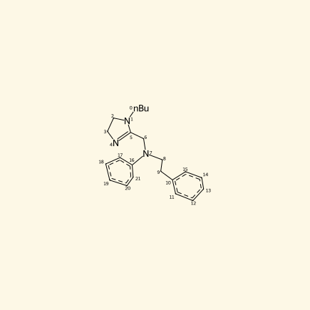 CCCCN1CCN=C1CN(CCc1ccccc1)c1ccccc1